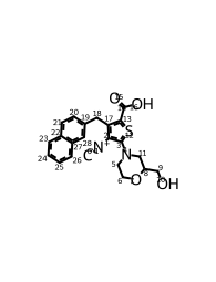 [C-]#[N+]c1c(N2CCOC(CO)C2)sc(C(=O)O)c1Cc1ccc2ccccc2c1